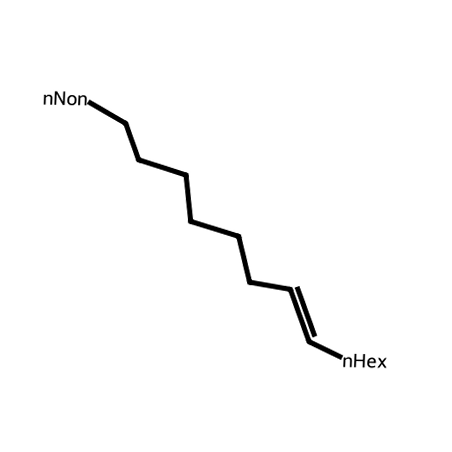 CCCCCCC=CCCCCCCCCCCCCCCC